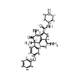 Nc1ccc2c3c(c(C(=O)NC4CCNCC4)sc13)C(N)C(=O)C2(N)c1ccc(Oc2ccccc2)cc1